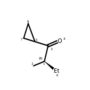 CC[C@@H](C)C(=O)C1CC1